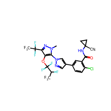 Cn1nc(C(F)(F)C(F)(F)F)c(OC(F)(F)C(F)C(F)(F)F)c1-n1cc(-c2ccc(Cl)c(C(=O)NC3(C#N)CC3)c2)cn1